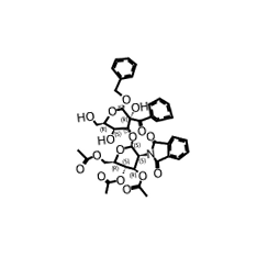 CC(=O)OC[C@H]1O[C@@H](O[C@H]2[C@@H](O)[C@@H](CO)O[C@H](OCc3ccccc3)[C@@]2(O)C(=O)c2ccccc2)[C@@H](N2C(=O)c3ccccc3C2=O)[C@@H](OC(C)=O)[C@@H]1OC(C)=O